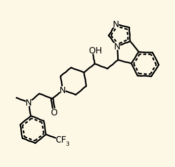 CN(CC(=O)N1CCC(C(O)CC2c3ccccc3-c3cncn32)CC1)c1cccc(C(F)(F)F)c1